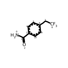 NC(=O)c1ccc(CC(F)(F)F)cc1